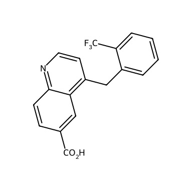 O=C(O)c1ccc2nccc(Cc3ccccc3C(F)(F)F)c2c1